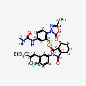 CCOC(=O)/C(Cl)=C/c1cc(N2C(=O)C3=C(CCCC3)C2=O)ccc1Cl.CN(C)C(=O)Nc1ccc(-n2nc(C(C)(C)C)oc2=O)c(Cl)c1